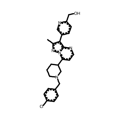 Cc1nn2c(C3CCCN(Cc4ccc(Cl)cc4)C3)ccnc2c1-c1ccc(CO)nc1